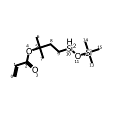 C=CC(=O)OC(C)(C)CC[SiH2]O[Si](C)(C)C